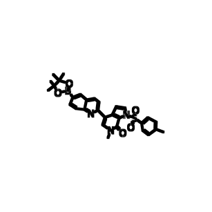 Cc1ccc(S(=O)(=O)n2ccc3c(-c4ccc5cc(B6OC(C)(C)C(C)(C)O6)ccc5n4)cn(C)c(=O)c32)cc1